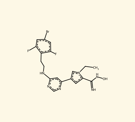 CCn1cc(-c2cc(NCCc3c(F)cc(Br)cc3F)ncn2)cc1C(=N)NO